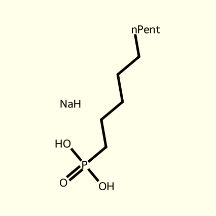 CCCCCCCCCCP(=O)(O)O.[NaH]